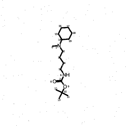 CN(CCCCNC(=O)OC(C)(C)C)C1CCCCC1